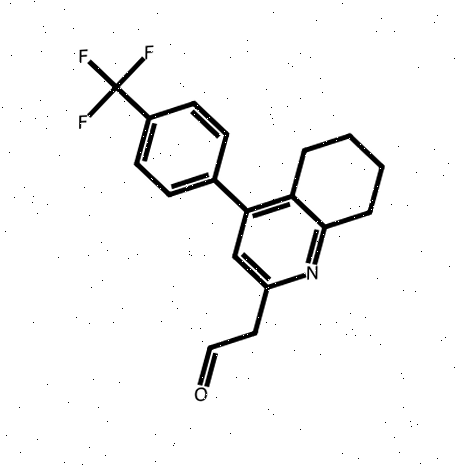 O=CCc1cc(-c2ccc(C(F)(F)F)cc2)c2c(n1)CCCC2